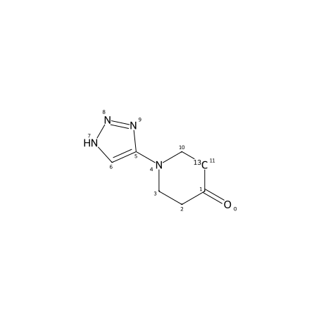 O=C1CCN(c2c[nH]nn2)C[13CH2]1